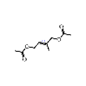 CC(=O)OC/C=C(\C)COC(C)=O